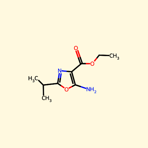 CCOC(=O)c1nc(C(C)C)oc1N